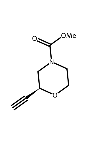 C#C[C@H]1CN(C(=O)OC)CCO1